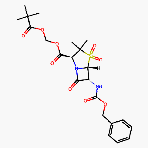 CC(C)(C)C(=O)OCOC(=O)[C@@H]1N2C(=O)[C@@H](NC(=O)OCc3ccccc3)[C@H]2S(=O)(=O)C1(C)C